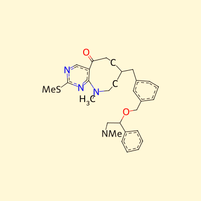 CNCC(OCc1cccc(CC2CCC(=O)c3cnc(SC)nc3N(C)CC2)c1)c1ccccc1